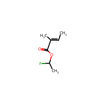 C/C=C(\C)C(=O)OC(C)F